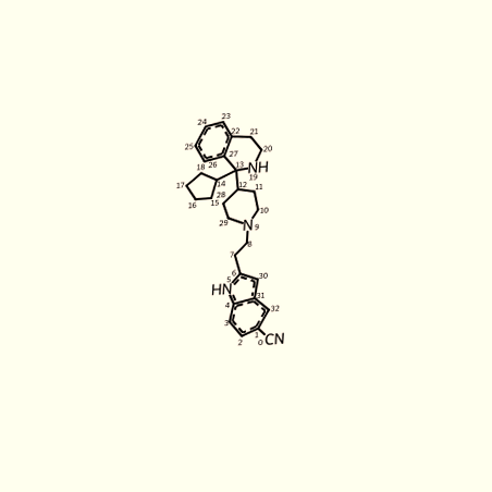 N#Cc1ccc2[nH]c(CCN3CCC(C4(C5CCCC5)NCCc5ccccc54)CC3)cc2c1